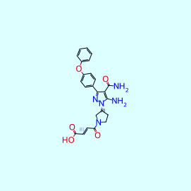 NC(=O)c1c(-c2ccc(Oc3ccccc3)cc2)nn([C@@H]2CCN(C(=O)/C=C/C(=O)O)C2)c1N